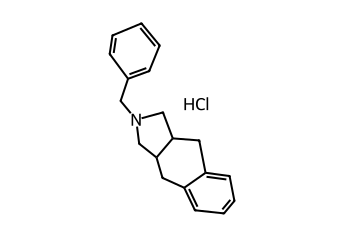 Cl.c1ccc(CN2CC3Cc4ccccc4CC3C2)cc1